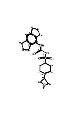 O=C(Nc1c2c(cc3c1CCC3)CCC2)NS(=O)(=O)C1CCN(C2CNC2)CC1